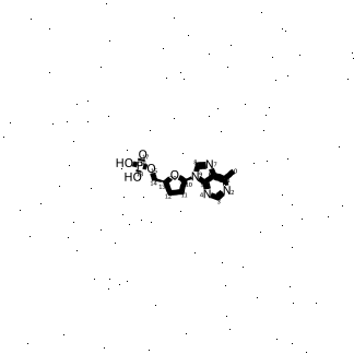 Cc1ncnc2c1ncn2[C@H]1CC[C@@H](COP(=O)(O)O)O1